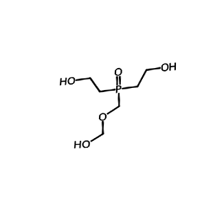 O=P(CCO)(CCO)COCO